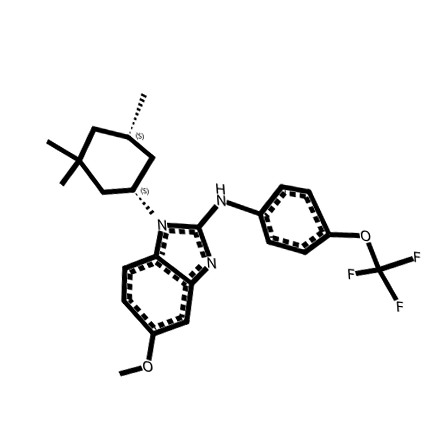 COc1ccc2c(c1)nc(Nc1ccc(OC(F)(F)F)cc1)n2[C@H]1C[C@@H](C)CC(C)(C)C1